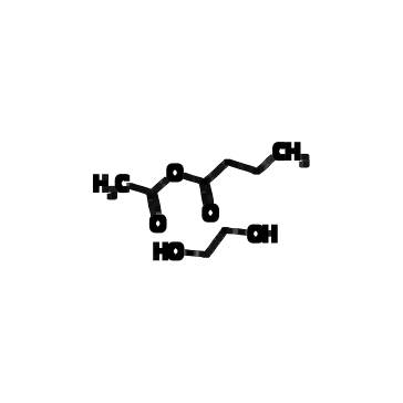 CCCC(=O)OC(C)=O.OCCO